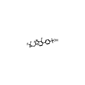 CC(C)(O)c1ccc(-c2ccn3c(CC4CC4(F)F)nnc3c2F)cc1